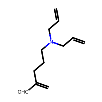 C=CCN(CC=C)CCCC(=C)[C]=O